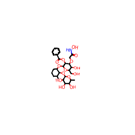 CC1CCCC(OC2OC(CO)C(O)C(OCC(=O)NO)C2OC(=O)c2ccccc2)C1OC1OC(C)C(O)C(O)C1O